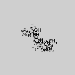 COCC(C)n1c(-c2cc(C)c(=O)n(C)c2)nc2cc(CN[C@H](C(=O)OC3CCCC3)[C@@H](C)O)ccc21